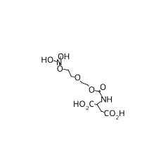 O=C(O)CC(NC(=O)OCCOCCON(O)O)C(=O)O